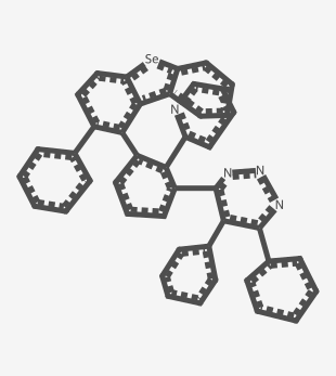 c1ccc(-c2ccc3[se]c4ccccc4c3c2-c2cccc(-c3nnnc(-c4ccccc4)c3-c3ccccc3)c2-c2ccccn2)cc1